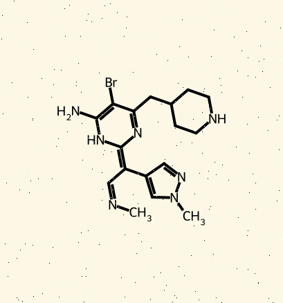 C/N=C\C(=C1\N=C(CC2CCNCC2)C(Br)=C(N)N1)c1cnn(C)c1